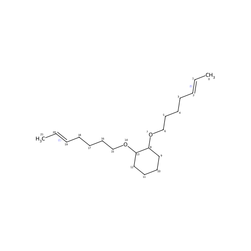 C/C=C/CCCCOC1CCCCC1OCCCC/C=C/C